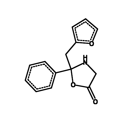 O=C1CNC(Cc2ccco2)(c2ccccc2)O1